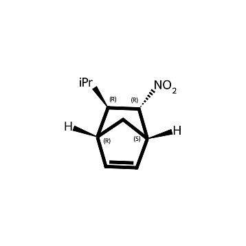 CC(C)[C@H]1[C@H]([N+](=O)[O-])[C@@H]2C=C[C@H]1C2